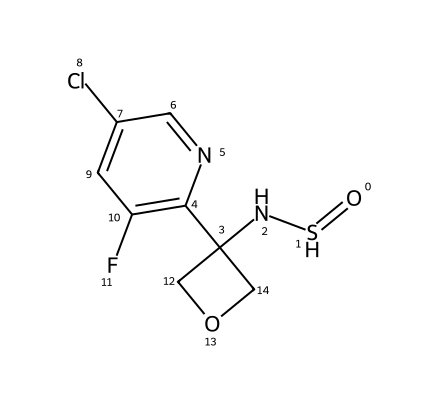 O=[SH]NC1(c2ncc(Cl)cc2F)COC1